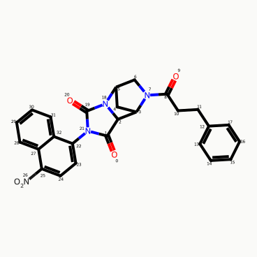 O=C1C2C3CC(CN3C(=O)CCc3ccccc3)N2C(=O)N1c1ccc([N+](=O)[O-])c2ccccc12